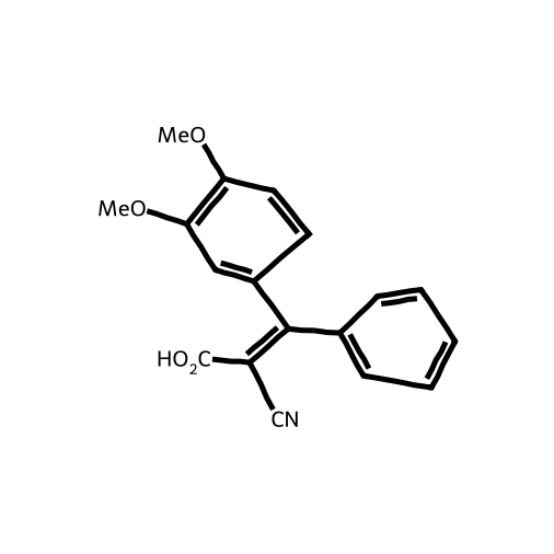 COc1ccc(C(=C(C#N)C(=O)O)c2ccccc2)cc1OC